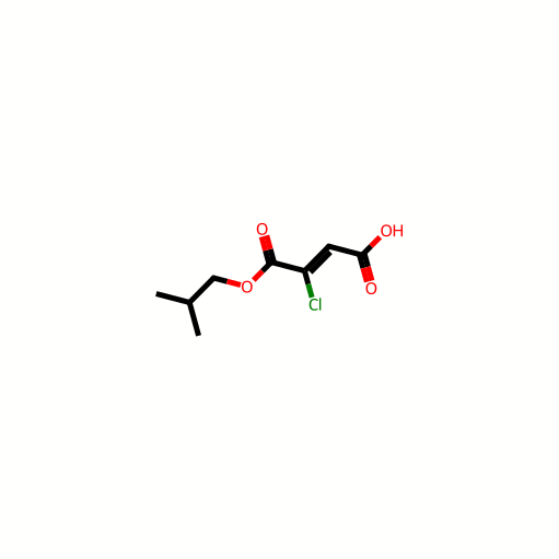 CC(C)COC(=O)C(Cl)=CC(=O)O